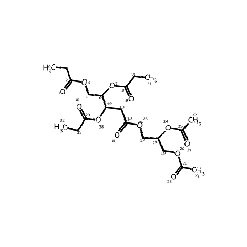 CCC(=O)OCC(OC(=O)CC)C(CC(=O)OCC(COC(C)=O)OC(C)=O)OC(=O)CC